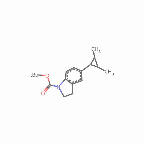 CC1C(C)C1c1ccc2c(c1)CCN2C(=O)OC(C)(C)C